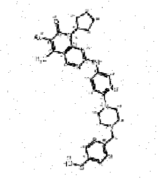 CC(=O)c1c(C)c2cnc(Nc3ccc(N4CCN(Cc5ccc(CO)cc5)CC4)nc3)nc2n(C2CCCC2)c1=O